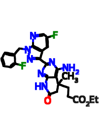 CCOC(=O)CCC1(C)CC(=O)Nc2nc(-c3nn(Cc4ccccc4F)c4ncc(F)cc34)nc(N)c21